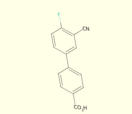 N#Cc1cc(-c2ccc(C(=O)O)cc2)ccc1F